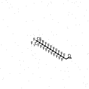 FC(F)(F)C(F)(C(F)(F)F)C(F)(F)C(F)(F)C(F)(F)C(F)(F)C(F)(F)C(F)(F)C(F)(F)C(F)(F)C(F)(F)C(F)(F)CC1CO1